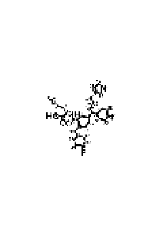 CSCC[C@H](NC(=O)c1cc(C(OCCn2ccnc2)c2ccc(F)cc2)ccc1Cc1ccc(F)cc1)C(=O)O